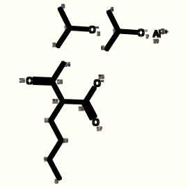 CC(C)[O-].CC(C)[O-].CCCCC(C(C)=O)C(=O)[O-].[Al+3]